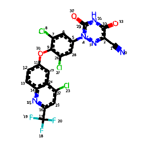 N#Cc1nn(-c2cc(Cl)c(Oc3ccc4nc(C(F)(F)F)cc(Cl)c4c3)c(Cl)c2)c(=O)[nH]c1=O